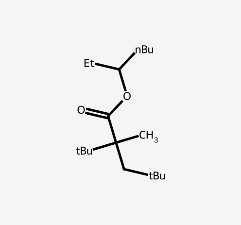 CCCCC(CC)OC(=O)C(C)(CC(C)(C)C)C(C)(C)C